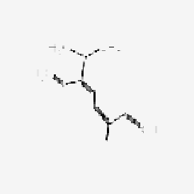 C=C/C(=C\C=C(\I)C=C)C(C)C